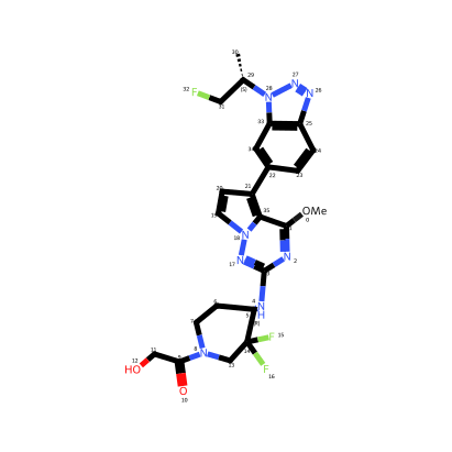 COc1nc(N[C@@H]2CCN(C(=O)CO)CC2(F)F)nn2ccc(-c3ccc4nnn([C@@H](C)CF)c4c3)c12